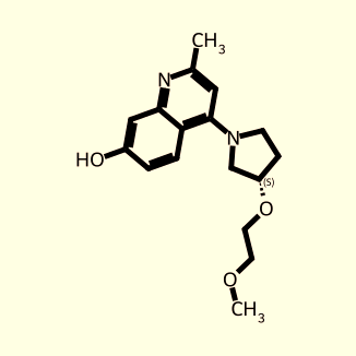 COCCO[C@H]1CCN(c2cc(C)nc3cc(O)ccc23)C1